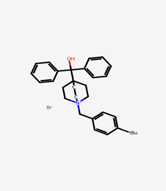 CC(C)(C)c1ccc(C[N+]23CCC(C(O)(c4ccccc4)c4ccccc4)(CC2)CC3)cc1.[Br-]